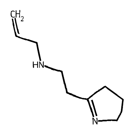 C=CCNCCC1=NCCC1